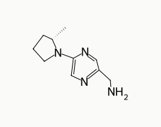 C[C@H]1CCCN1c1cnc(CN)cn1